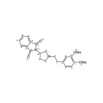 COc1ccc(CCN2CCC(N3C(=O)c4ccccc4C3=O)C2)cc1OC